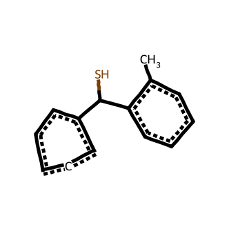 Cc1ccccc1C(S)c1ccccc1